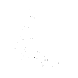 COc1nc(-c2cccc(-c3cccc(-c4ccn5c(=O)c(CNCC(C)(C)O)cnc5c4)c3Cl)c2Cl)ccc1CN(C[C@@H]1CCC(=O)N1)C(=O)O